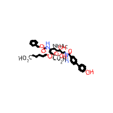 CC(=O)N[C@H]1[C@H]([C@H](O)[C@H](O)CNC(=O)c2ccc(-c3ccc(O)cc3)cc2)O[C@@](OCCCCCC(=O)O)(C(=O)O)C[C@@H]1NC(=O)OCc1ccccc1